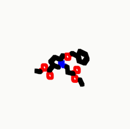 CCOC(=O)CCN1CC(C(=O)OCC)CCC1COCc1ccccc1